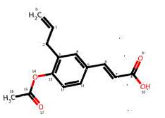 C=CCc1cc(/C=C/C(=O)O)ccc1OC(C)=O